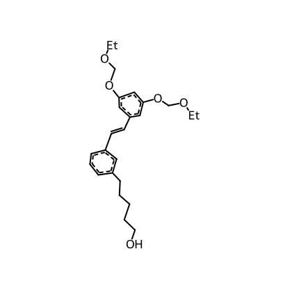 CCOCOc1cc(C=Cc2cccc(CCCCCO)c2)cc(OCOCC)c1